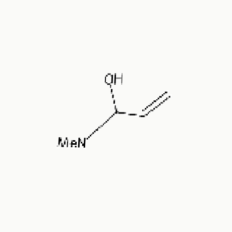 C=CC(O)NC